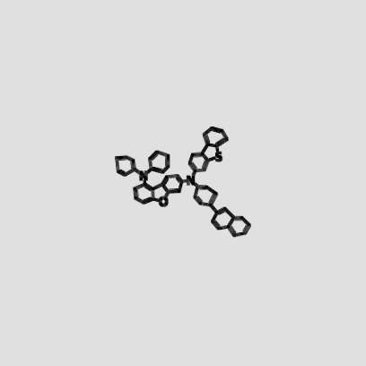 c1ccc(N(c2ccccc2)c2cccc3oc4cc(N(c5ccc(-c6ccc7ccccc7c6)cc5)c5ccc6c(c5)sc5ccccc56)ccc4c23)cc1